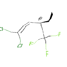 C[C@H](C=C(Cl)Cl)C(F)(F)F